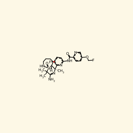 CC1(C)C(N)=N[C@](C)(c2nc(NC(=O)c3ccc(OCF)cn3)ccc2F)[C@H]2CCCCN[SH]21=O